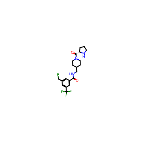 O=C(NCC1CCN(C(=O)[C@@H]2CCCN2)CC1)c1cc(CF)cc(C(F)(F)F)c1